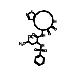 CC(C)CC(NS(=O)(=O)c1ccccc1)C(=O)NC1CCc2cnsc2CCCCNC(=O)C1=O